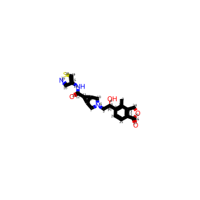 Cc1c([C@@H](O)CN2CC3C(C2)C3C(=O)Nc2cnsc2)ccc2c1COC2=O